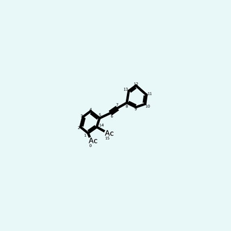 CC(=O)c1cccc(C#Cc2ccccc2)c1C(C)=O